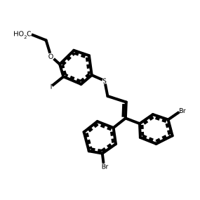 O=C(O)COc1ccc(SCC=C(c2cccc(Br)c2)c2cccc(Br)c2)cc1I